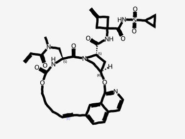 C=CC(=O)N(C)C[C@@H]1NC(=O)OCCC/C=C/c2ccc3ccnc(c3c2)O[C@@H]2C[C@@H](C(=O)NC3(C(=O)NS(=O)(=O)C4CC4)CC(=C)C3)N(C2)C1=O